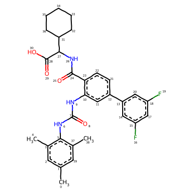 Cc1cc(C)c(NC(=O)Nc2cc(-c3cc(F)cc(F)c3)ccc2C(=O)NC(C(=O)O)C2CCCCC2)c(C)c1